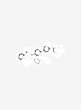 CC(C)CC(C)Nc1ccc(-c2ccc(C(=O)NS(=O)(=O)c3cccc(N)n3)c(N3[C@H](C)CC[C@@H]3C)n2)cn1